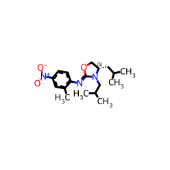 Cc1cc([N+](=O)[O-])ccc1N=C1OC[C@H](CC(C)C)N1CC(C)C